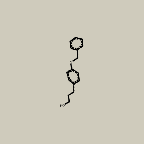 OCCCc1ccc(OCc2ccccc2)cc1